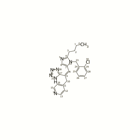 CCCCc1ncc(/C=C(/Cc2ccncc2)c2nnn[nH]2)n1Cc1ccccc1Cl